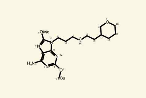 CCCCOc1nc(N)c2nc(OC)n(CCCNCCC3CCCOC3)c2n1